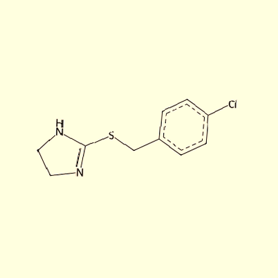 Clc1ccc(CSC2=NCCN2)cc1